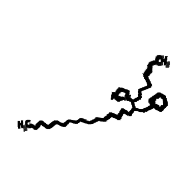 CCCCCCCCCCCCCCCCC(Cc1ccccc1)C(CCCCCCC)n1ccnc1